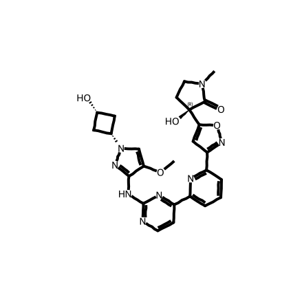 COc1cn([C@H]2C[C@@H](O)C2)nc1Nc1nccc(-c2cccc(-c3cc([C@]4(O)CCN(C)C4=O)on3)n2)n1